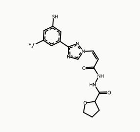 O=C(/C=C\n1cnc(-c2cc(S)cc(C(F)(F)F)c2)n1)NNC(=O)C1CCCO1